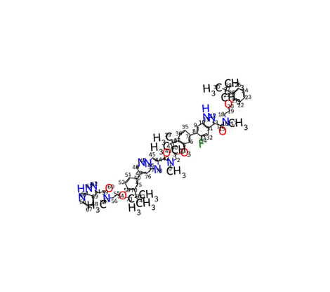 CN(CCOc1cc(-c2cc3[nH]nc(C(=O)N(C)CCOc4ccccc4C(C)(C)C)c3cc2F)ccc1C(C)(C)C)C(=O)c1cn2ncc(-c3ccc(OCCN(C)C(=O)c4n[nH]c5ncccc45)c(C(C)(C)C)c3)cc2n1